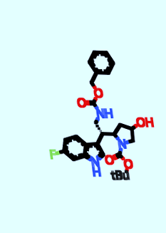 CC(C)(C)OC(=O)N1CC(O)CC1[C@@H](CNC(=O)OCc1ccccc1)c1c[nH]c2cc(F)ccc12